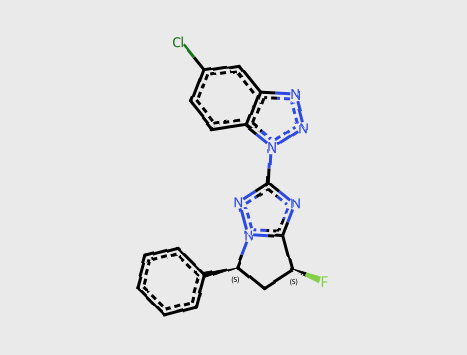 F[C@H]1C[C@@H](c2ccccc2)n2nc(-n3nnc4cc(Cl)ccc43)nc21